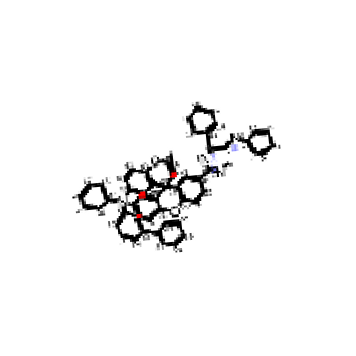 C\N=C(/N=C(\C=N\c1ccccc1)c1ccccc1)c1ccc2c(c1)C1(c3ccccc3O2)c2ccccc2Oc2ccc(N(c3ccccc3)c3cccc(-c4ccccc4)c3)cc21